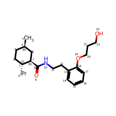 CC(C)[C@@H]1CC[C@@H](C)C[C@H]1C(=O)NCCc1ccccc1OCCCO